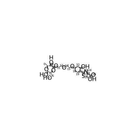 CC1OC(O)C(CO)O[C@H](OCCOCCOc2ccc(C3=N[C@@](C)(C(=O)O)CS3)c(O)c2)[C@H]1O